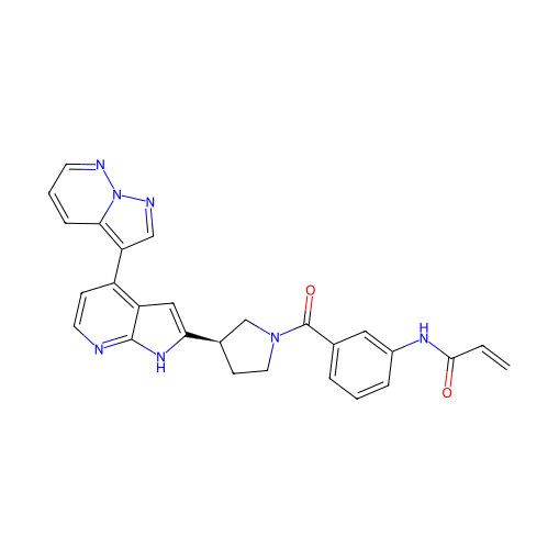 C=CC(=O)Nc1cccc(C(=O)N2CC[C@@H](c3cc4c(-c5cnn6ncccc56)ccnc4[nH]3)C2)c1